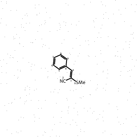 CSC(C#N)=Cc1ccccc1